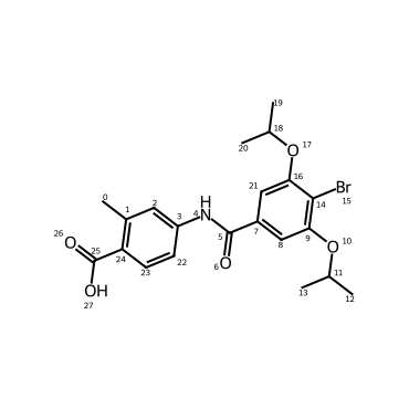 Cc1cc(NC(=O)c2cc(OC(C)C)c(Br)c(OC(C)C)c2)ccc1C(=O)O